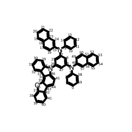 c1ccc(N(c2cc(N(c3ccccc3)c3ccc4ccccc4c3)cc(-n3c4ccccc4c4c5oc6ccccc6c5ccc43)c2)c2ccc3ccccc3c2)cc1